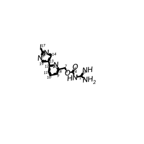 N=C(N)NC(=O)OCc1cccc(-c2cnc(I)nc2)n1